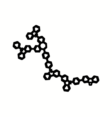 c1ccc(-n2c3ccccc3c3cc(-c4ccc5c(c4)-c4cc(-n6c7ccccc7c7ccccc76)ccc4CCC5c4ccc(-c5ccc(-n6c7ccccc7c7cc(-c8ccc9c(c8)c8ccccc8n9-c8ccc(-c9ccc%10c(c9)oc9ccccc9%10)cc8)ccc76)cc5)cc4)ccc32)cc1